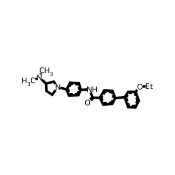 CCOc1cccc(-c2ccc(C(=O)Nc3ccc(N4CCC(N(C)C)C4)cc3)cc2)c1